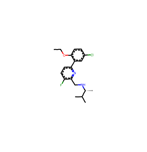 CCOc1ccc(Cl)cc1-c1ccc(F)c(CN[C@H](C)C(C)C)n1